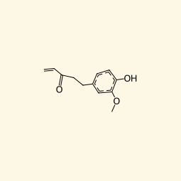 C=CC(=O)CCc1ccc(O)c(OC)c1